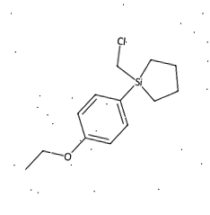 CCOc1ccc([Si]2(CCl)CCCC2)cc1